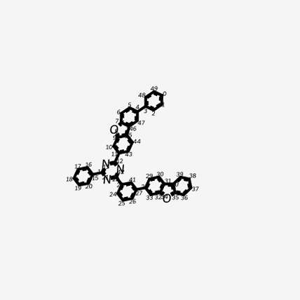 c1ccc(-c2ccc3oc4cc(-c5nc(-c6ccccc6)nc(-c6cccc(-c7ccc8c(c7)oc7ccccc78)c6)n5)ccc4c3c2)cc1